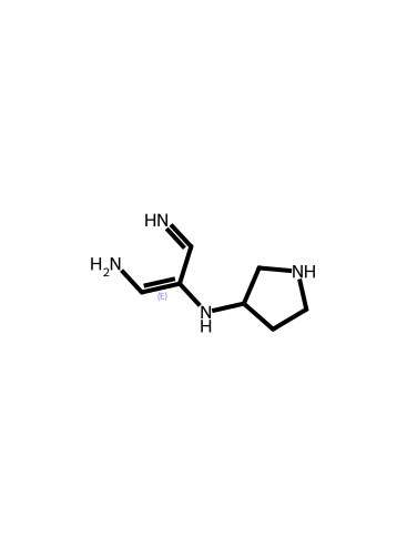 N=C/C(=C\N)NC1CCNC1